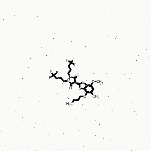 CCCCOc1c(C)cc(OC)c2c1SC(=C1C(=O)N(CCCC(F)(F)F)N(CCCC(F)(F)F)C1=O)S2